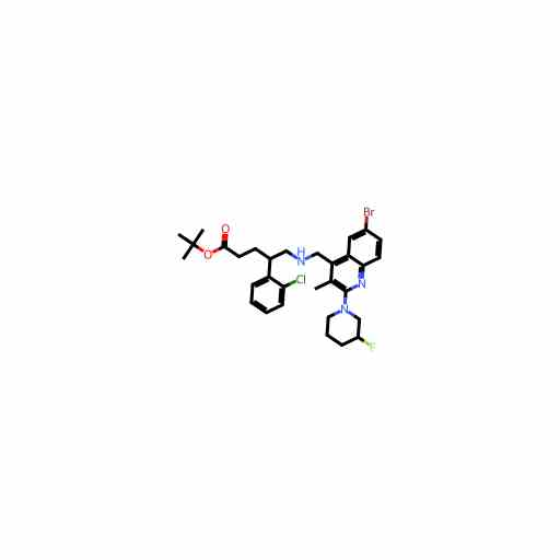 Cc1c(N2CCCC(F)C2)nc2ccc(Br)cc2c1CNCC(CCC(=O)OC(C)(C)C)c1ccccc1Cl